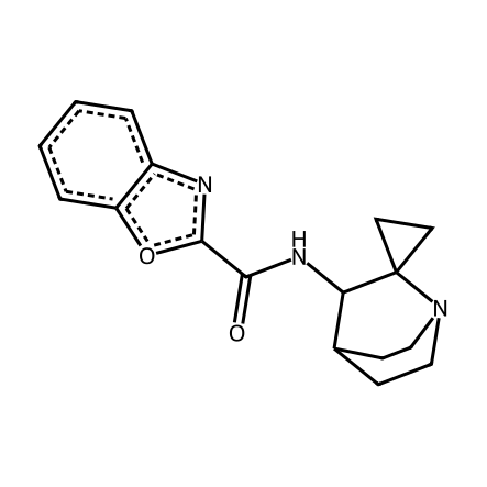 O=C(NC1C2CCN(CC2)C12CC2)c1nc2ccccc2o1